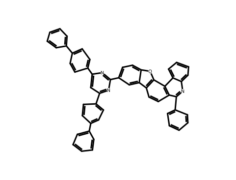 c1ccc(-c2ccc(-c3cc(-c4ccc(-c5ccccc5)cc4)nc(-c4ccc5oc6c(ccc7c(-c8ccccc8)nc8ccccc8c76)c5c4)n3)cc2)cc1